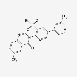 CCS(=O)(=O)c1cc(-c2cccc(C(F)(F)F)c2)cnc1-n1cnc2ccc(C(F)(F)F)cc2c1=O